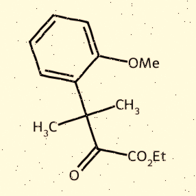 CCOC(=O)C(=O)C(C)(C)c1ccccc1OC